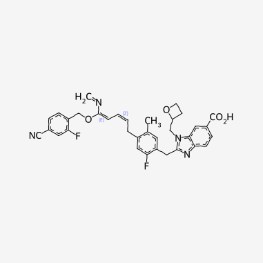 C=N/C(=C\C=C/Cc1cc(F)c(Cc2nc3ccc(C(=O)O)cc3n2CC2CCO2)cc1C)OCc1ccc(C#N)cc1F